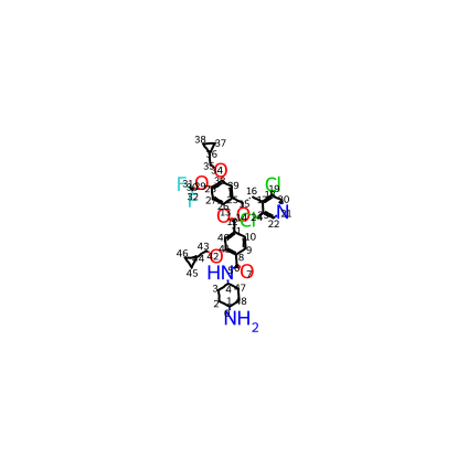 N[C@H]1CC[C@@H](NC(=O)c2ccc(C(=O)O[C@@H](Cc3c(Cl)cncc3Cl)c3ccc(OC(F)F)c(OCC4CC4)c3)cc2OCC2CC2)CC1